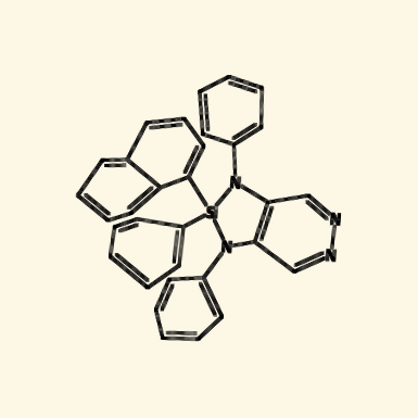 c1ccc(N2c3cnncc3N(c3ccccc3)[Si]2(c2ccccc2)c2cccc3ccccc23)cc1